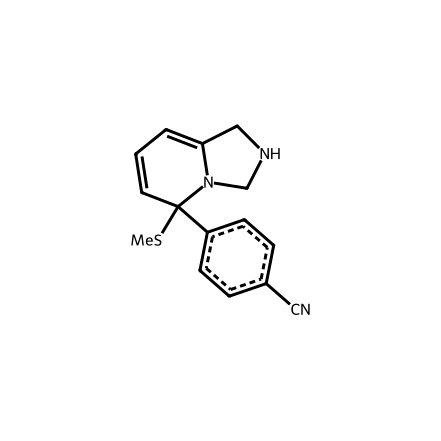 CSC1(c2ccc(C#N)cc2)C=CC=C2CNCN21